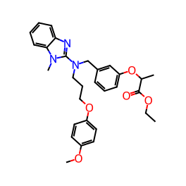 CCOC(=O)C(C)Oc1cccc(CN(CCCOc2ccc(OC)cc2)c2nc3ccccc3n2C)c1